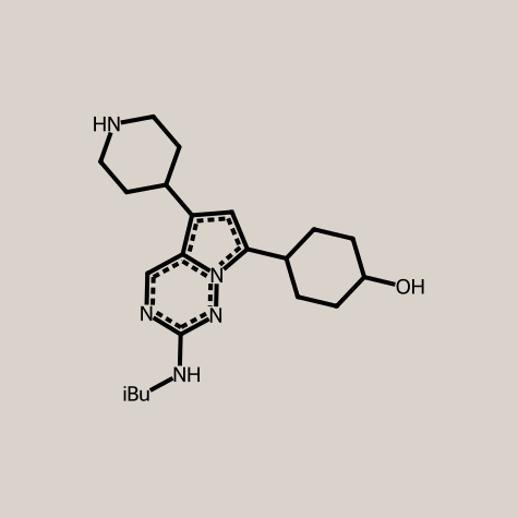 CCC(C)Nc1ncc2c(C3CCNCC3)cc(C3CCC(O)CC3)n2n1